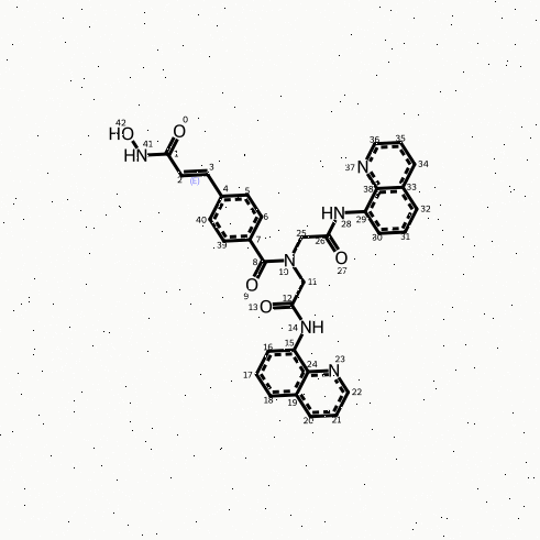 O=C(/C=C/c1ccc(C(=O)N(CC(=O)Nc2cccc3cccnc23)CC(=O)Nc2cccc3cccnc23)cc1)NO